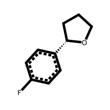 Fc1ccc([C@@H]2CCCO2)cc1